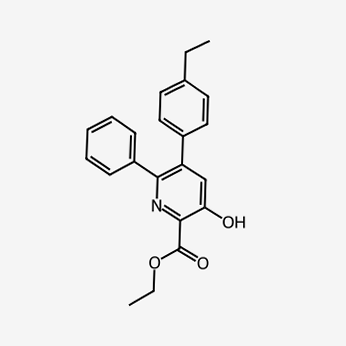 CCOC(=O)c1nc(-c2ccccc2)c(-c2ccc(CC)cc2)cc1O